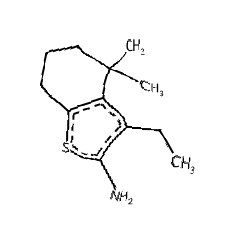 CCc1c(N)sc2c1C(C)(C)CCC2